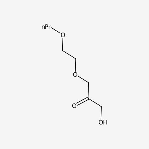 CCCOCCOCC(=O)CO